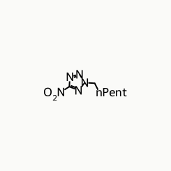 CCCCCCn1nnc([N+](=O)[O-])n1